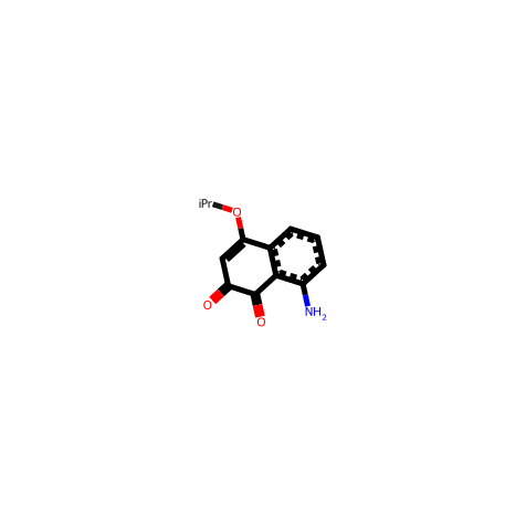 CC(C)OC1=CC(=O)C(=O)c2c(N)cccc21